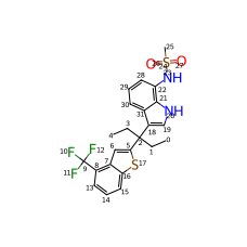 CCC(CC)(c1cc2c(C(F)(F)F)cccc2s1)c1c[nH]c2c(NS(C)(=O)=O)cccc12